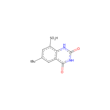 CC(C)(C)c1cc(S(=O)(=O)O)c2[nH]c(=O)[nH]c(=O)c2c1